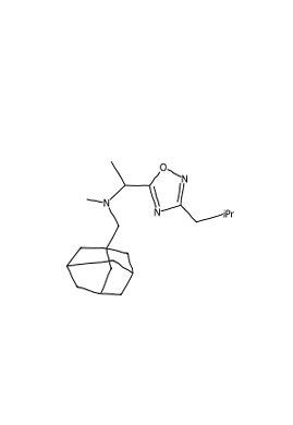 CC(C)Cc1noc(C(C)N(C)CC23CC4CC(CC(C4)C2)C3)n1